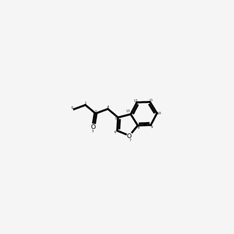 CCC(=O)Cc1coc2ccccc12